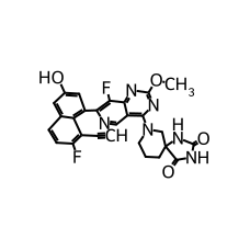 C#Cc1c(F)ccc2cc(O)cc(-c3ncc4c(N5CCCC6(C5)NC(=O)NC6=O)nc(OC)nc4c3F)c12